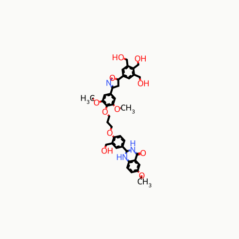 COc1ccc2c(c1)C(=O)NC(c1ccc(OCCCOc3c(OC)cc(C4=NOC(c5cc(CO)c(CO)c(CO)c5)C4)cc3OC)c(CO)c1)N2